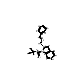 CC(C)(C)OC(=O)N1c2cnccc2C[C@H]1COCc1ccccc1